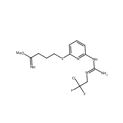 COC(=N)CCCSc1cccc(NC(N)=NCC(F)(F)Cl)n1